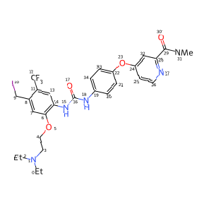 CCN(CC)CCOc1cc(CI)c(C(F)(F)F)cc1NC(=O)Nc1ccc(Oc2ccnc(C(=O)NC)c2)cc1